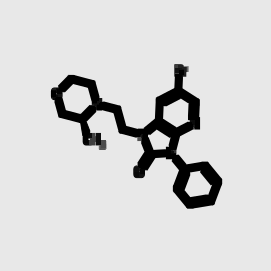 C[C@H]1COCCN1CCn1c(=O)n(-c2ccccc2)c2ncc(Br)cc21